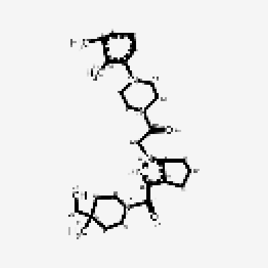 Cc1cccc(N2CCN(C(=O)Cn3nc(C(=O)N4CCC(C)(CO)CC4)c4c3CCC4)CC2)c1C